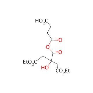 CCOC(=O)CC(O)(CC(=O)OCC)C(=O)OC(=O)CCC(=O)O